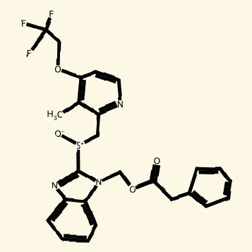 Cc1c(OCC(F)(F)F)ccnc1C[S+]([O-])c1nc2ccccc2n1COC(=O)Cc1ccccc1